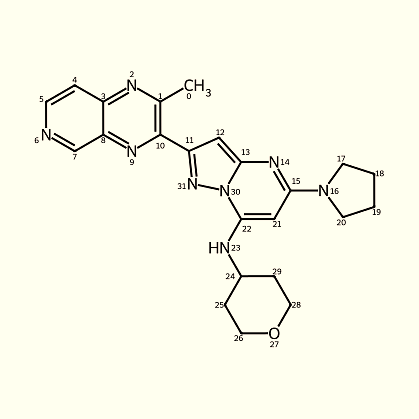 Cc1nc2ccncc2nc1-c1cc2nc(N3CCCC3)cc(NC3CCOCC3)n2n1